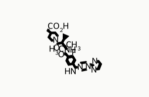 CC(C)(NC(=O)c1ccc(C(=N)N2CCN(c3ncccn3)CC2)cc1F)C(C(=O)N1CCC(CC(=O)O)CC1)C1CC1